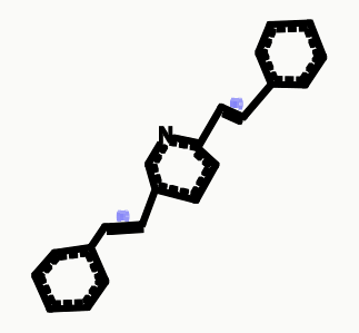 C(=C\c1ccc(/C=C/c2ccccc2)nc1)/c1ccccc1